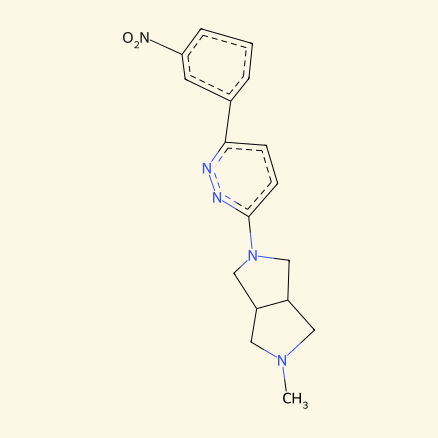 CN1CC2CN(c3ccc(-c4cccc([N+](=O)[O-])c4)nn3)CC2C1